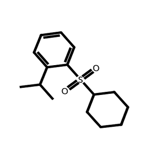 CC(C)c1ccccc1S(=O)(=O)C1CCCCC1